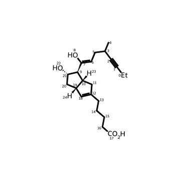 CCC#CC(C)CC=C(O)[C@H]1[C@@H]2CC(CCCCC(=O)O)=C[C@@H]2C[C@@H]1O